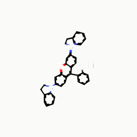 O=S(=O)(O)c1ccccc1-c1c2cc/c(=[N+]3/CCc4ccccc43)cc-2oc2cc(N3CCc4ccccc43)ccc12